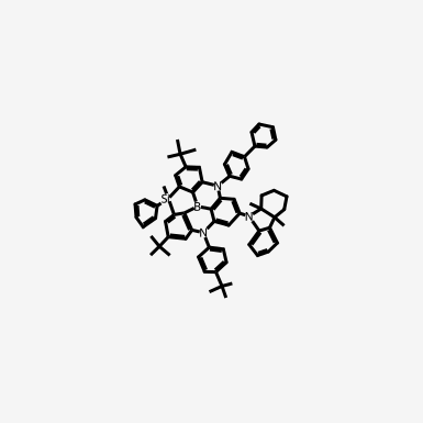 CC(C)(C)c1ccc(N2c3cc(N4c5ccccc5C5(C)CCCCC45C)cc4c3B3c5c(cc(C(C)(C)C)cc5[Si](C)(c5ccccc5)c5cc(C(C)(C)C)cc2c53)N4c2ccc(-c3ccccc3)cc2)cc1